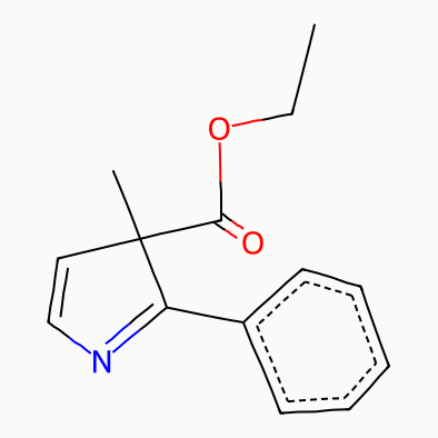 CCOC(=O)C1(C)C=CN=C1c1ccccc1